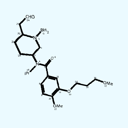 BN1CC(N(C(=O)c2ccc(OC)c(OCCCOC)c2)C(C)C)CCC1CC=O